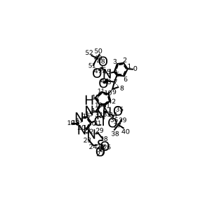 Cc1ccc2c(c1)[C@]1(C[C@H]1c1ccc3c(Nc4nc(C)nc(N5CCS(=O)(=O)CC5)c4Cl)nn(C(=O)OC(C)(C)C)c3c1)C(=O)N2C(=O)OC(C)(C)C